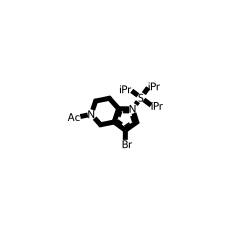 CC(=O)N1CCc2c(c(Br)cn2S(C(C)C)(C(C)C)C(C)C)C1